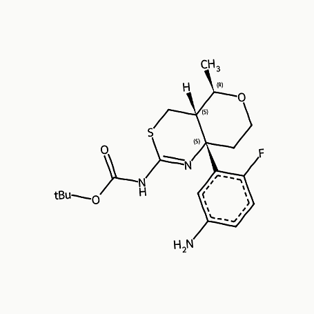 C[C@H]1OCC[C@]2(c3cc(N)ccc3F)N=C(NC(=O)OC(C)(C)C)SC[C@H]12